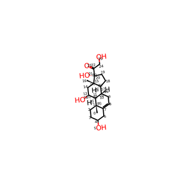 C[C@]12CCC(O)CC1=CC[C@@H]1[C@@H]2[C@@H](O)C[C@@]2(C)[C@H]1CC[C@]2(O)C(=O)CO